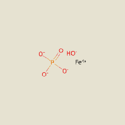 O=P([O-])([O-])[O-].[Fe+4].[OH-]